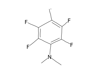 [CH2]c1c(F)c(F)c(N(C)C)c(F)c1F